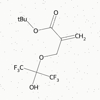 C=C(COC(O)(C(F)(F)F)C(F)(F)F)C(=O)OC(C)(C)C